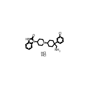 Cl.Cl.NCC1(c2cccc(Cl)c2)CCC(N2CCC(n3c(=O)[nH]c4ccccc43)CC2)CC1